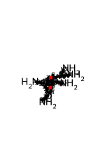 CC(CCCN(CCCN)CCCN)C1CC[C@H]2C3[C@H](OCCCN)CC4C[C@H](OCCCN)CC[C@]4(C)[C@H]3C[C@H](OCCCN)[C@]12C